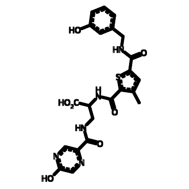 Cc1cc(C(=O)NCc2cccc(O)c2)sc1C(=O)NC(CNC(=O)c1cnc(O)cn1)C(=O)O